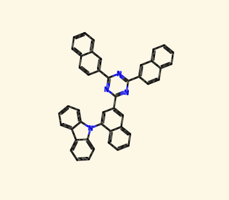 c1ccc2cc(-c3nc(-c4ccc5ccccc5c4)nc(-c4cc(-n5c6ccccc6c6ccccc65)c5ccccc5c4)n3)ccc2c1